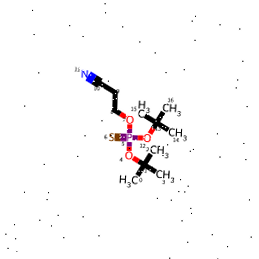 CC(C)(C)OP(=S)(OCCC#N)OC(C)(C)C